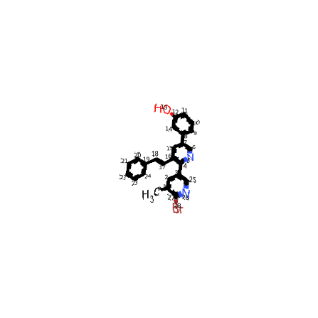 Cc1cc(-c2ncc(-c3cccc(O)c3)cc2C=Cc2ccccc2)cnc1Br